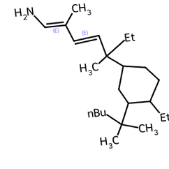 CCCCC(C)(C)C1CC(C(C)(/C=C/C(C)=C/N)CC)CCC1CC